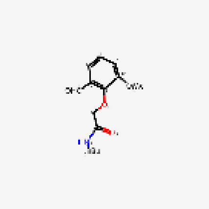 CCCCNC(=O)COc1c(C=O)cccc1OC